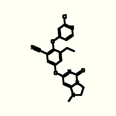 CCc1cc(Oc2cc3n(c(=O)n2)CCN3C)cc(C#N)c1Oc1ccnc(Cl)c1